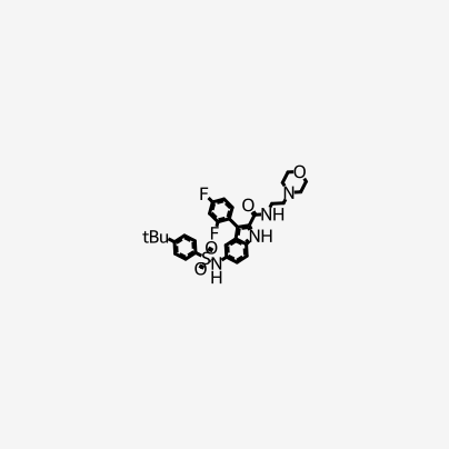 CC(C)(C)c1ccc(S(=O)(=O)Nc2ccc3[nH]c(C(=O)NCCN4CCOCC4)c(-c4ccc(F)cc4F)c3c2)cc1